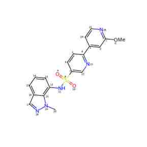 COc1cc(-c2ccc(S(=O)(=O)Nc3cccc4cnn(C)c34)cn2)ccn1